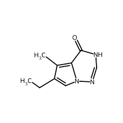 CCc1cn2nc[nH]c(=O)c2c1C